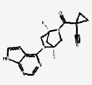 N#CC1(C(=O)N2C[C@@H]3C[C@H]2CN3c2ncnc3[nH]ccc23)CC1